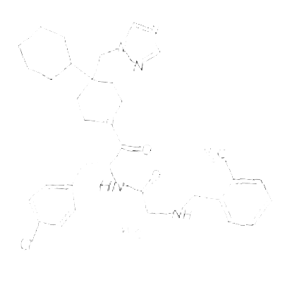 Cc1ccccc1CN[C@H](C)C(=O)N[C@H](Cc1ccc(Cl)cc1)C(=O)N1CCC(Cn2cncn2)(C2CCCCC2)CC1